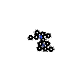 c1ccc(-c2ccc(-n3c4ccc(-c5cccc6c7c(-c8ccccc8)ccc(-c8ccccc8)c7n(-c7ccccc7)c56)cc4c4c(-c5ccccc5)ccc(-c5ccccc5)c43)cc2)cc1